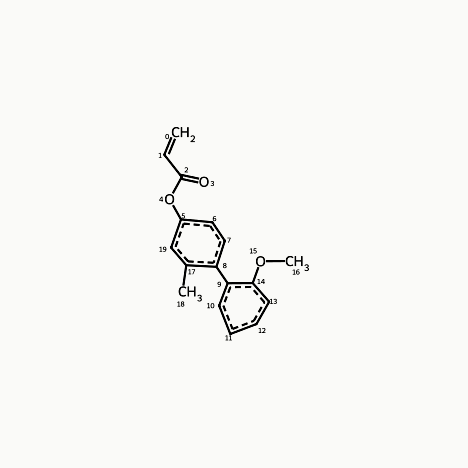 C=CC(=O)Oc1ccc(-c2ccccc2OC)c(C)c1